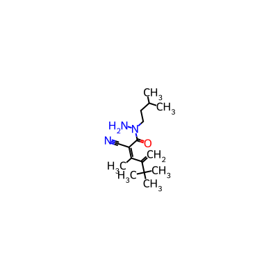 C=C(/C(C)=C(/C#N)C(=O)N(N)CCC(C)C)C(C)(C)C